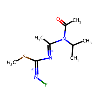 CSC(=N/F)/N=C(\C)N(C(C)=O)C(C)C